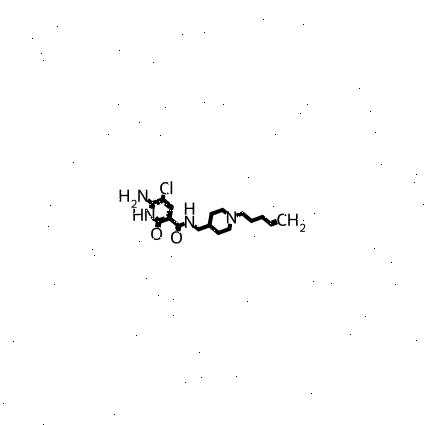 C=CCCCN1CCC(CNC(=O)c2cc(Cl)c(N)[nH]c2=O)CC1